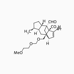 COCCOCOC[C@]12C[C@H]3[C@@H](C)CC[C@@H]3[C@]3(C=O)C[C@H]1C=C(C(C)C)[C@]23C(=O)O